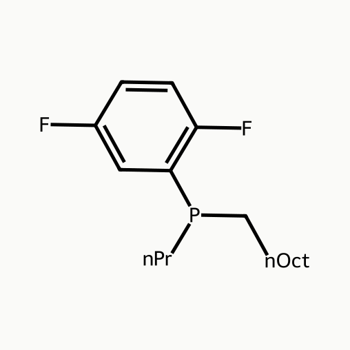 CCCCCCCCCP(CCC)c1cc(F)ccc1F